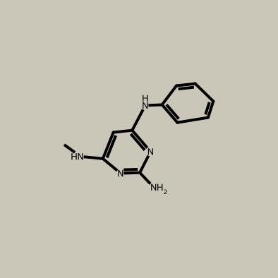 CNc1cc(Nc2ccccc2)nc(N)n1